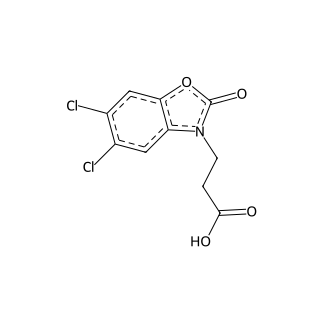 O=C(O)CCn1c(=O)oc2cc(Cl)c(Cl)cc21